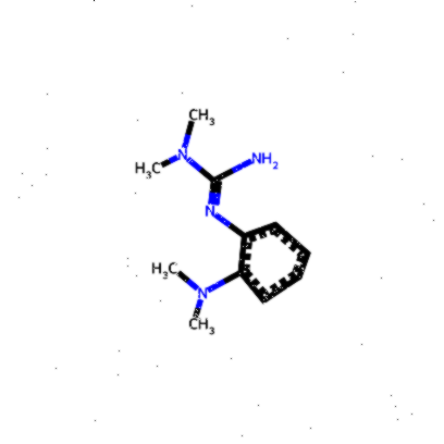 CN(C)/C(N)=N/c1ccccc1N(C)C